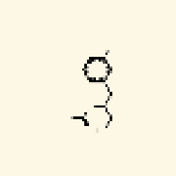 CCC(=O)OC(Cc1cccc(F)c1)CC(C)C